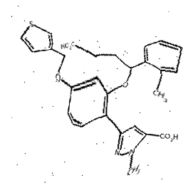 Cc1ccccc1C(CCC(=O)O)Oc1cc(OCc2ccsc2)ccc1-c1cc(C(=O)O)n(C)n1